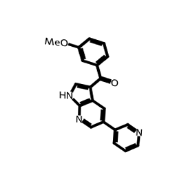 COc1cccc(C(=O)c2c[nH]c3ncc(-c4cccnc4)cc23)c1